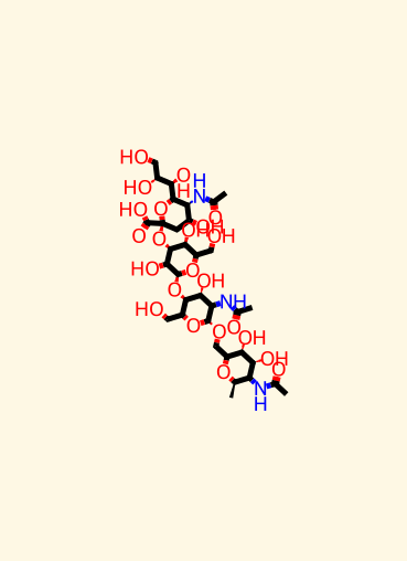 CC(=O)NC1[C@H](OCC2O[C@H](C)C(NC(C)=O)[C@@H](O)[C@H]2O)OC(CO)[C@@H](O[C@@H]2OC(CO)[C@H](O)[C@H](O[C@]3(C(=O)O)CC(O)[C@@H](NC(C)=O)C([C@H](O)[C@H](O)CO)O3)C2O)[C@@H]1O